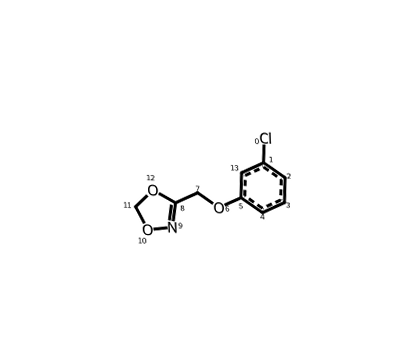 Clc1cccc(OCC2=NOCO2)c1